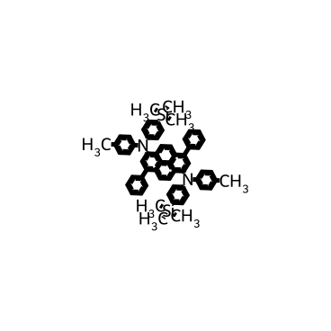 Cc1ccc(N(c2ccc([Si](C)(C)C)cc2)c2cc(-c3ccccc3)c3ccc4c(N(c5ccc(C)cc5)c5ccc([Si](C)(C)C)cc5)cc(-c5ccccc5)c5ccc2c3c54)cc1